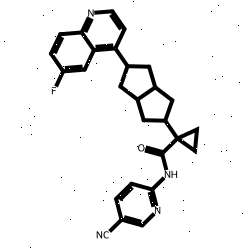 N#Cc1ccc(NC(=O)C2(C3CC4CC(c5ccnc6ccc(F)cc56)CC4C3)CC2)nc1